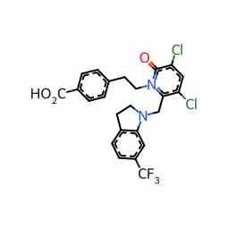 O=C(O)c1ccc(CCn2c(CN3CCc4ccc(C(F)(F)F)cc43)c(Cl)cc(Cl)c2=O)cc1